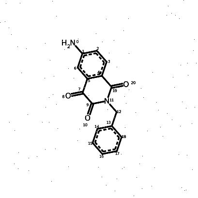 Nc1ccc2c(c1)C(=O)C(=O)N(Cc1ccccc1)C2=O